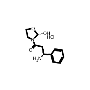 Cl.N[C@@H](CC(=O)N1CCO[C@@H]1O)c1ccccc1